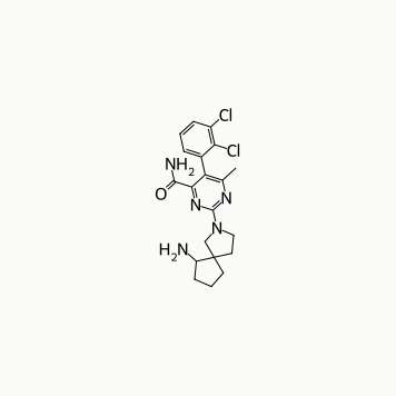 Cc1nc(N2CCC3(CCCC3N)C2)nc(C(N)=O)c1-c1cccc(Cl)c1Cl